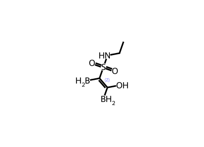 B/C(O)=C(\B)S(=O)(=O)NCC